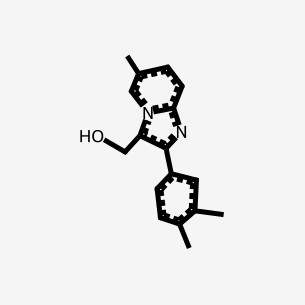 Cc1ccc2nc(-c3ccc(C)c(C)c3)c(CO)n2c1